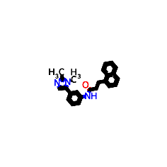 Cc1ncc(-c2cccc(NC(=O)CCc3cccc4ccccc34)c2)n1C